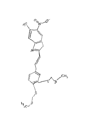 COCOc1ccc(/C=C/c2nc3cc(C)c([N+](=O)[O-])cc3s2)cc1OCOC